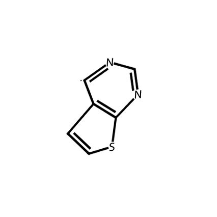 [c]1ncnc2sccc12